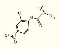 CN(C)C(=O)Oc1ccc([N+](=O)[O-])cc1Cl